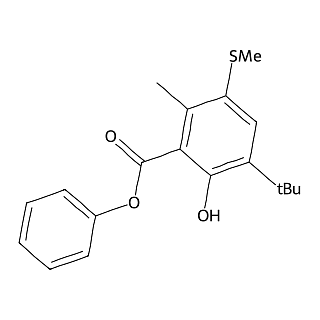 CSc1cc(C(C)(C)C)c(O)c(C(=O)Oc2ccccc2)c1C